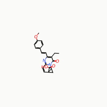 CCc1c(/C=C/c2ccc(OC)cc2)nc2n(c1=O)C1CC1(C(=O)O)C=C2